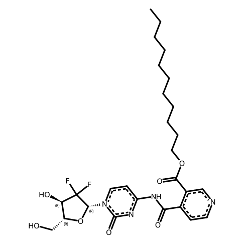 CCCCCCCCCCCOC(=O)c1cnccc1C(=O)Nc1ccn([C@@H]2O[C@H](CO)[C@@H](O)C2(F)F)c(=O)n1